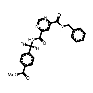 [2H]C([2H])(NC(=O)c1cc(C(=O)NCc2ccccc2)ncn1)c1ccc(C(=O)OC)cc1